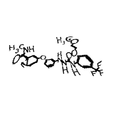 CNC(=O)c1cc(Oc2cccc(NNC(=O)Nc3cc(C(F)(F)F)ccc3OCCOC)c2)ccn1